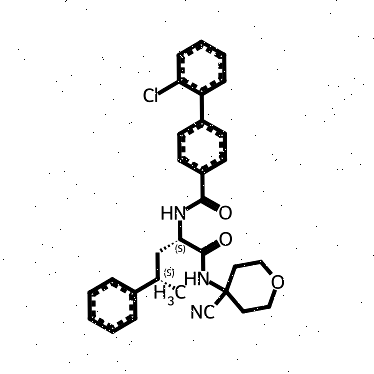 C[C@@H](C[C@H](NC(=O)c1ccc(-c2ccccc2Cl)cc1)C(=O)NC1(C#N)CCOCC1)c1ccccc1